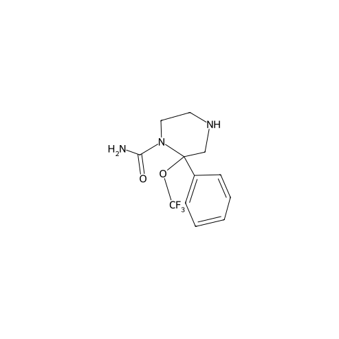 NC(=O)N1CCNCC1(OC(F)(F)F)c1ccccc1